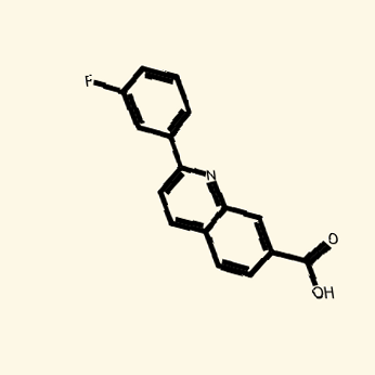 O=C(O)c1ccc2ccc(-c3cccc(F)c3)nc2c1